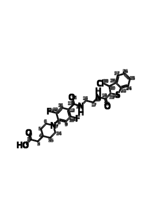 O=C(O)CC1CCN(c2cc(F)c(C(=O)NCCNC(=O)C3Sc4ccccc4C3Cl)cc2F)CC1